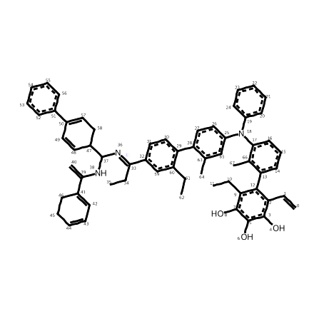 C=Cc1c(O)c(O)c(O)c(CC)c1-c1cccc(N(c2ccccc2)c2ccc(-c3ccc(/C(CC)=N/C(NC(=C)C4=CC=CCC4)C4C=CC(c5ccccc5)=CC4)cc3CC)c(C)c2)c1C